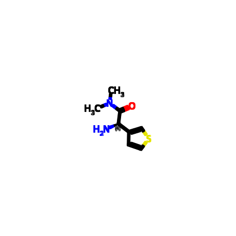 CN(C)C(=O)[C@H](N)c1ccsc1